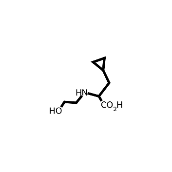 O=C(O)C(CC1CC1)NCCO